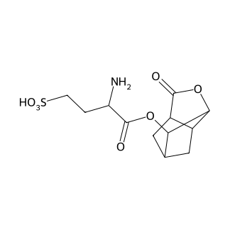 NC(CCS(=O)(=O)O)C(=O)OC1C2CC3C(=O)OC1C3C2